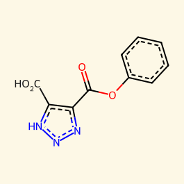 O=C(Oc1ccccc1)c1nn[nH]c1C(=O)O